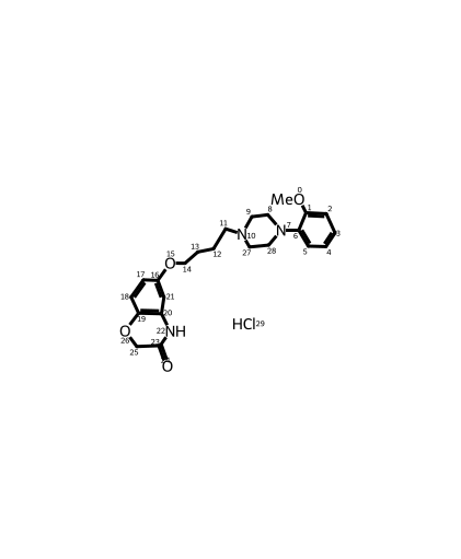 COc1ccccc1N1CCN(CCCCOc2ccc3c(c2)NC(=O)CO3)CC1.Cl